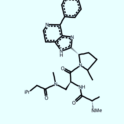 CN[C@@H](C)C(=O)N[C@@H](CN(C)C(=O)CC(C)C)C(=O)N1C(C)CC[C@H]1c1nc2c(-c3ccccc3)nccc2[nH]1